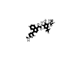 CNc1ccc(-c2ccc(C(=O)C(=O)Nc3cc(C(C)(C)C)cc(NS(C)(=O)=O)c3OC)c3ccccc23)cn1